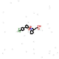 O=C(O)CCc1cn(S(=O)(=O)c2cccc(-c3ccc(C(F)(F)F)cc3)c2)c2ccccc12